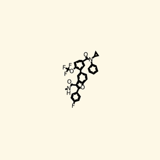 CNC(=O)c1c(-c2ccc(F)cc2)oc2ccc(-c3cc(C(=O)N(c4ccccc4)C4CC4)ccc3OC(F)(F)F)cc12